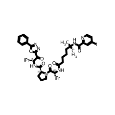 CC(C)[C@H](NC(=O)[C@@H]1CCCN1C(=O)[C@@H](NC(=O)CCCCC(C)(C)NC(=O)c1cc(I)ccn1)C(C)C)C(=O)c1nnc(-c2ccccc2)o1